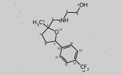 CC1(CNCCO)CCC(c2ccc(C(F)(F)F)cc2)O1